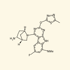 CNc1cc(F)cc2c1[nH]c1nc(Oc3nnc(C)s3)nc(N3C[C@H]4C[C@@H]3C[C@H]4N)c12